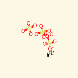 O.O=S(=O)([O-])[O-].O=S(=O)([O-])[O-].O=S(=O)([O-])[O-].[Ir+3].[Ir+3]